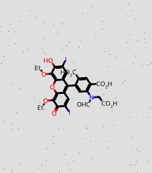 CCOc1c2oc3c(OCC)c(O)c(I)cc3c(-c3cc(N(C=O)CC(=O)O)c(C(=O)O)cc3C(=O)O)c-2cc(I)c1=O